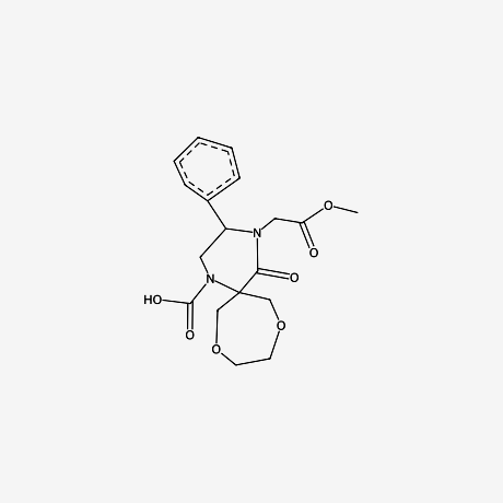 COC(=O)CN1C(=O)C2(COCCOC2)N(C(=O)O)CC1c1ccccc1